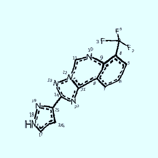 FC(F)(F)c1cccc2c1ncn1nc(-c3cc[nH]n3)nc21